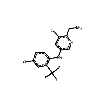 NCc1ncc(Nc2ccc(Cl)cc2C(F)(F)F)cc1Cl